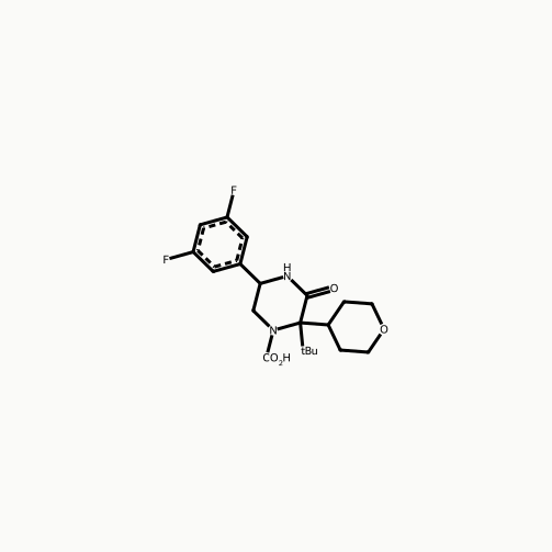 CC(C)(C)C1(C2CCOCC2)C(=O)NC(c2cc(F)cc(F)c2)CN1C(=O)O